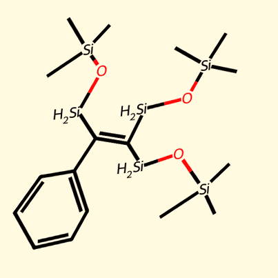 C[Si](C)(C)O[SiH2]C([SiH2]O[Si](C)(C)C)=C([SiH2]O[Si](C)(C)C)c1ccccc1